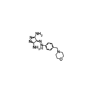 NC1=NN=C(N)C1=NNc1ccc(CN2CCOCC2)cc1